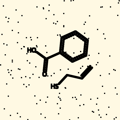 C=CCS.O=C(O)c1ccccc1